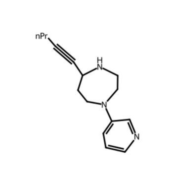 CCCC#CC1CCN(c2cccnc2)CCN1